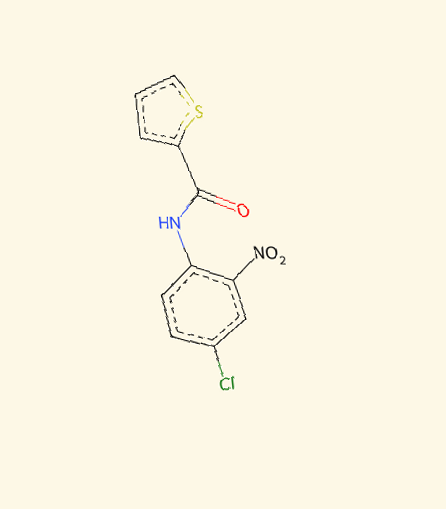 O=C(Nc1ccc(Cl)cc1[N+](=O)[O-])c1cccs1